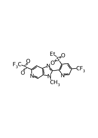 CCS(=O)(=O)c1cc(C(F)(F)F)cnc1-c1nc2cc(S(=O)(=O)C(F)(F)F)ncc2n1C